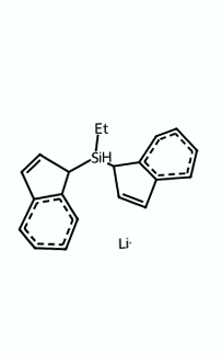 CC[SiH](C1C=Cc2ccccc21)C1C=Cc2ccccc21.[Li]